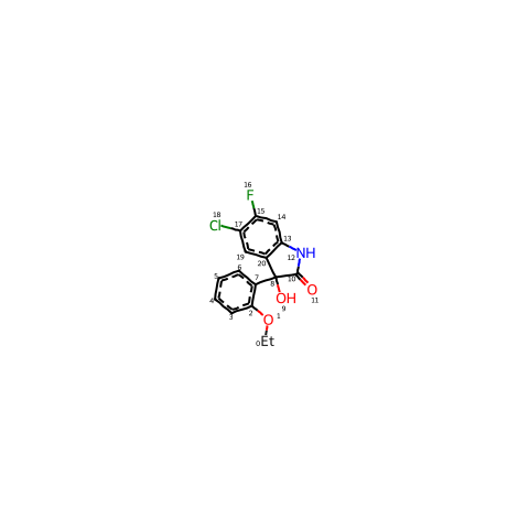 CCOc1ccccc1C1(O)C(=O)Nc2cc(F)c(Cl)cc21